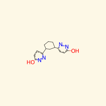 Oc1ccc(C2CCCC(c3ccc(O)nn3)C2)nn1